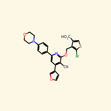 N#Cc1c(-c2ccoc2)cc(-c2ccc(N3CCOCC3)cc2)nc1OCc1c(C(=O)O)csc1Br